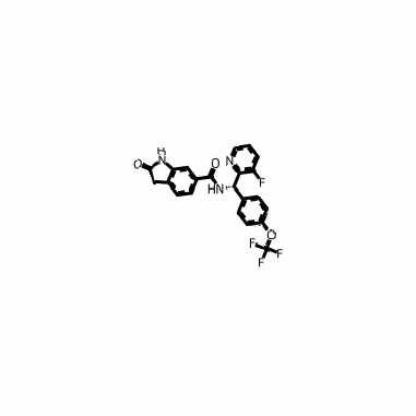 O=C1Cc2ccc(C(=O)N[C@@H](c3ccc(OC(F)(F)F)cc3)c3ncccc3F)cc2N1